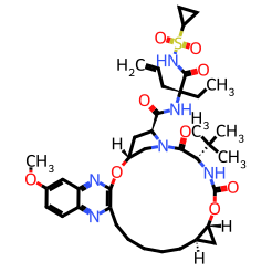 C=CC[C@@](CC)(NC(=O)[C@@H]1C[C@@H]2CN1C(=O)[C@H](C(C)(C)C)NC(=O)O[C@@H]1C[C@H]1CCCCCc1nc3ccc(OC)cc3nc1O2)C(=O)NS(=O)(=O)C1CC1